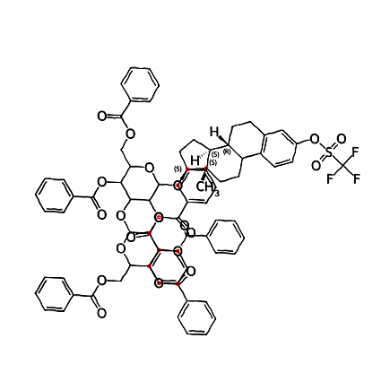 C[C@]12CCC3c4ccc(OS(=O)(=O)C(F)(F)F)cc4CC[C@H]3[C@@H]1CC[C@@H]2OC1OC(COC(=O)c2ccccc2)C(OC(=O)c2ccccc2)C(OC2OC(COC(=O)c3ccccc3)C(OC(=O)c3ccccc3)C(OC(=O)c3ccccc3)C2OC(=O)c2ccccc2)C1OC(=O)c1ccccc1